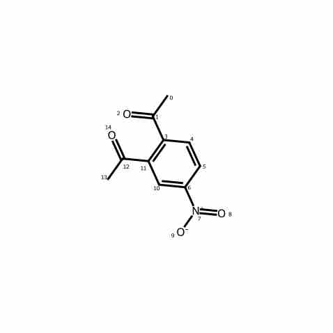 CC(=O)c1ccc([N+](=O)[O-])cc1C(C)=O